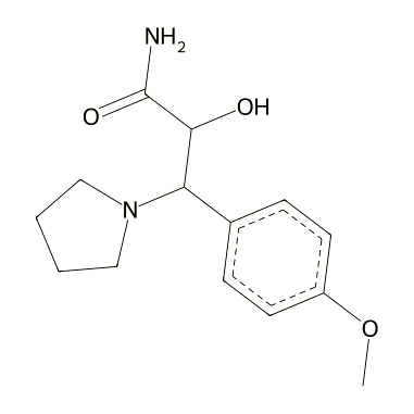 COc1ccc(C(C(O)C(N)=O)N2CCCC2)cc1